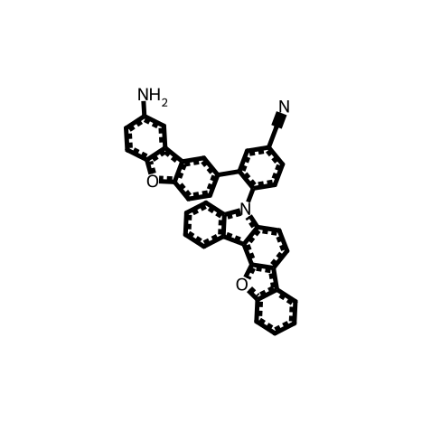 N#Cc1ccc(-n2c3ccccc3c3c4oc5ccccc5c4ccc32)c(-c2ccc3oc4ccc(N)cc4c3c2)c1